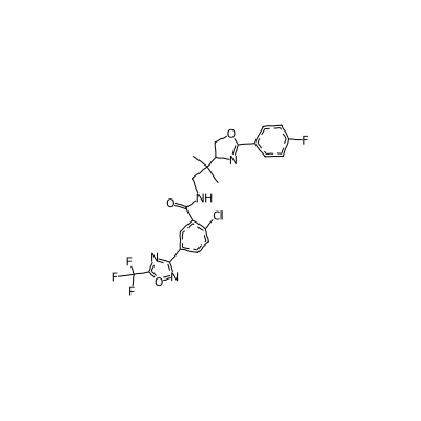 CC(C)(CNC(=O)c1cc(-c2noc(C(F)(F)F)n2)ccc1Cl)C1COC(c2ccc(F)cc2)=N1